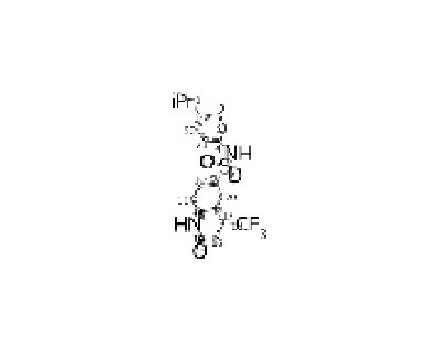 CC(C)c1ccc(NS(=O)(=O)c2ccc3[nH]c(=O)cc(C(F)(F)F)c3c2)cc1